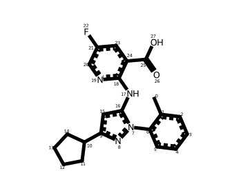 Cc1ccccc1-n1nc(C2CCCC2)cc1Nc1ncc(F)cc1C(=O)O